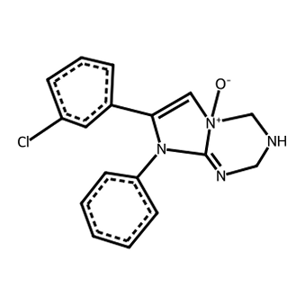 [O-][N+]12C=C(c3cccc(Cl)c3)N(c3ccccc3)C1=NCNC2